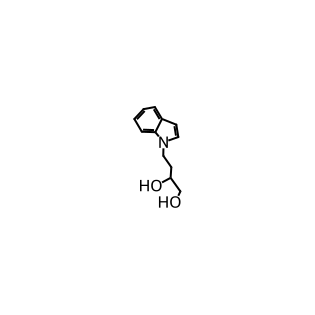 OCC(O)CCn1ccc2ccccc21